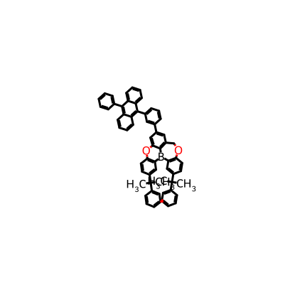 CC(C)(c1ccccc1)c1ccc2c(c1)B1c3cc(C(C)(C)c4ccccc4)ccc3Oc3cc(-c4cccc(-c5c6ccccc6c(-c6ccccc6)c6ccccc56)c4)cc(c31)CO2